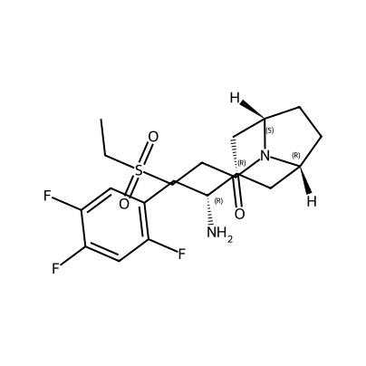 CCS(=O)(=O)CCC(=O)N1[C@@H]2CC[C@H]1C[C@@H]([C@H](N)Cc1cc(F)c(F)cc1F)C2